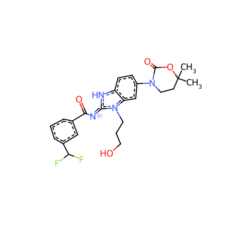 CC1(C)CCN(c2ccc3[nH]/c(=N\C(=O)c4cccc(C(F)F)c4)n(CCCO)c3c2)C(=O)O1